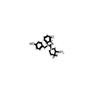 N#Cc1ccc(Cn2c(N3CCC(F)(F)C(N)C3)nc3c(Cl)cccc32)cc1